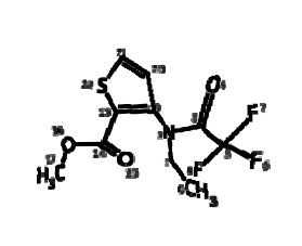 CCN(C(=O)C(F)(F)F)c1ccsc1C(=O)OC